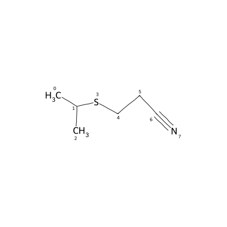 CC(C)SCCC#N